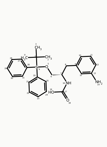 CC(C)(C)[Si](OC[C@H](Cc1cccc(N)c1)NC(=O)O)(c1ccccc1)c1ccccc1